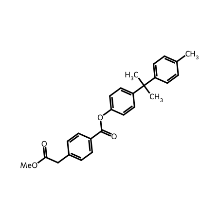 COC(=O)Cc1ccc(C(=O)Oc2ccc(C(C)(C)c3ccc(C)cc3)cc2)cc1